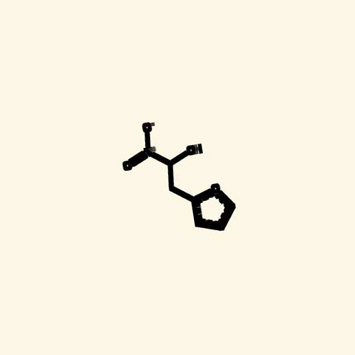 O=[N+]([O-])C(O)Cc1ccco1